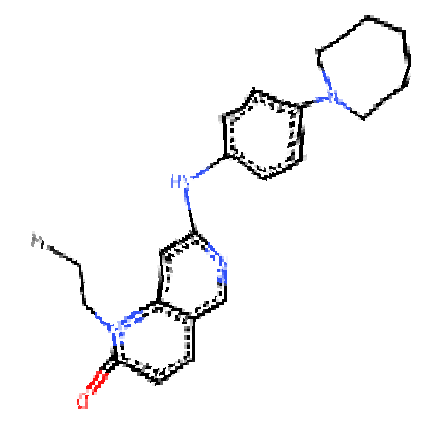 CC(C)CCn1c(=O)ccc2cnc(Nc3ccc(N4CCCCC4)cc3)cc21